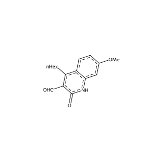 CCCCCCc1c(C=O)c(=O)[nH]c2cc(OC)ccc12